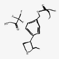 CC1NCC1c1ccc(OC(F)(F)F)cc1.O=C(O)C(F)(F)F